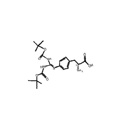 CC(C)(C)OC(=O)NC(=Nc1ccc(C[C@H](N)C(=O)O)cc1)NC(=O)OC(C)(C)C